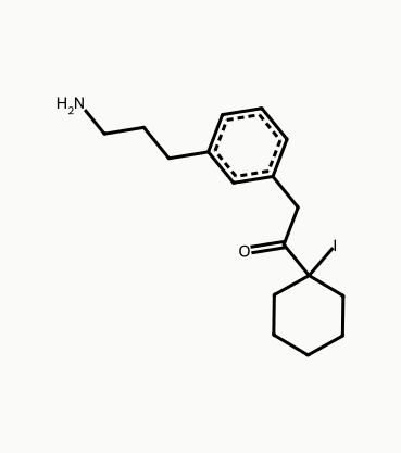 NCCCc1cccc(CC(=O)C2(I)CCCCC2)c1